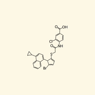 O=C(CSC1=CC=C(Br)C1c1ccc(C2CC2)c2ccccc12)Nc1ccc(C(=O)O)cc1Cl